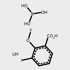 O=C(O)c1cccc(I)c1OF.OB(O)O.[LiH]